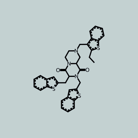 CCc1sc2ccccc2c1CN1CCN2C(=O)C(Cc3cc4ccccc4s3)N(Cc3cc4ccccc4s3)C(=O)C2C1